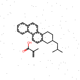 C=C(C)C(=O)O.CC(C)CC1CCc2c(ccc3c2ccc2ccccc23)C1